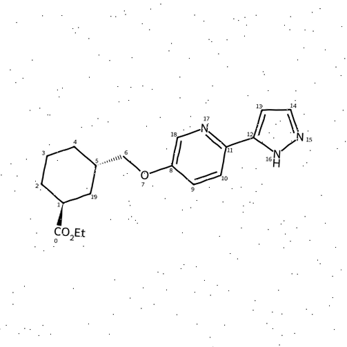 CCOC(=O)[C@H]1CCC[C@H](COc2ccc(-c3ccn[nH]3)nc2)C1